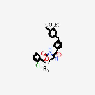 CCOC(=O)Cc1ccc(Cc2ccc(-c3onc(C)c3NC(=O)OC(C)c3ccccc3Cl)cc2)cc1